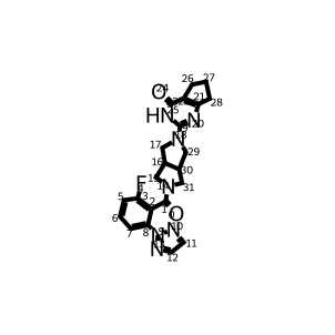 O=C(c1c(F)cccc1-n1nccn1)N1CC2CN(c3nc4c(c(=O)[nH]3)CCC4)CC2C1